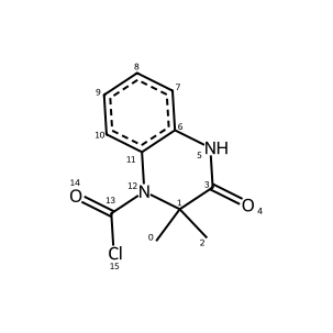 CC1(C)C(=O)Nc2ccccc2N1C(=O)Cl